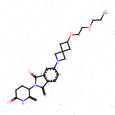 C=C1NC(=O)CCC1N1C(=C)c2ccc(N3CC4(CC(OCCOCCN=O)C4)C3)cc2C1=O